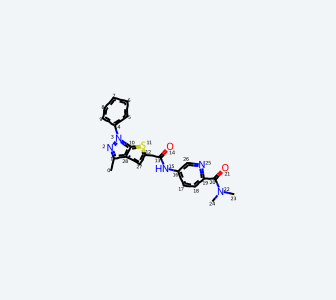 Cc1nn(-c2ccccc2)c2sc(C(=O)Nc3ccc(C(=O)N(C)C)nc3)cc12